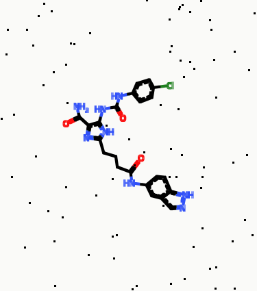 NC(=O)c1nc(CCCC(=O)Nc2ccc3[nH]ncc3c2)[nH]c1NC(=O)Nc1ccc(Cl)cc1